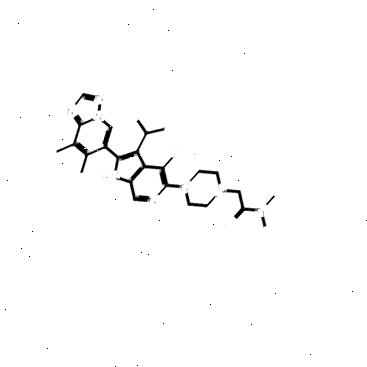 Cc1c(-c2[nH]c3cnc(N4CCN(CC(=O)N(C)C)C[C@H]4C)c(F)c3c2C(C)C)cn2ncnc2c1C